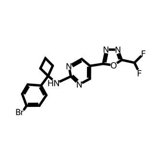 FC(F)c1nnc(-c2cnc(NC3(c4ccc(Br)cc4)CCC3)nc2)o1